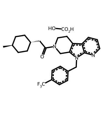 C[C@H]1CC[C@H](CC(=O)N2CCc3c(n(Cc4ccc(C(F)(F)F)cc4)c4ncccc34)C2)CC1.O=C(O)O